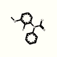 COc1cccc(N(C(=O)Cl)c2ccccc2)c1F